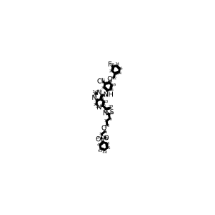 O=S(=O)(CCOCCCc1nc(-c2cc3c(Nc4ccc(OCc5cccc(F)c5)c(Cl)c4)ncnc3cn2)cs1)c1ccccc1